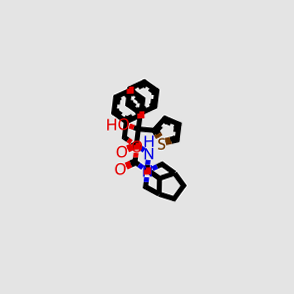 O=C(OCc1ccccc1)N1CC2CCC(C1)C2CNC(=O)C(O)(c1ccccc1)c1cccs1